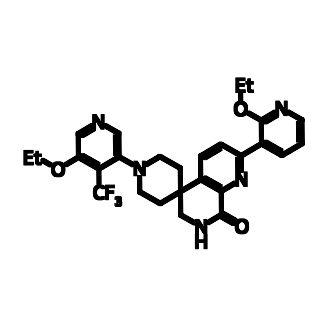 CCOc1cncc(N2CCC3(CC2)CNC(=O)c2nc(-c4cccnc4OCC)ccc23)c1C(F)(F)F